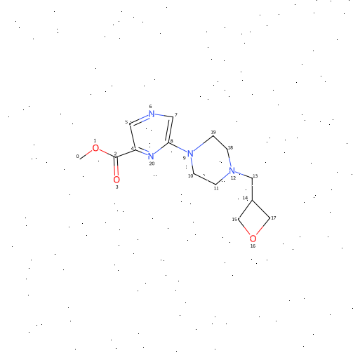 COC(=O)c1cncc(N2CCN(CC3COC3)CC2)n1